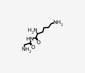 NCCCC[C@H](N)C(=O)NC(=O)CN